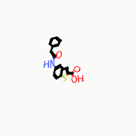 O=C(Cc1ccccc1)Nc1ccc2sc(C(=O)O)cc2c1